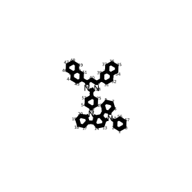 c1ccc(-n2c3ccccc3c3c2ccc2c4ccccc4n(-c4ccc(-c5nc(-c6ccc7ccccc7c6)cc(-c6ccc7ccccc7c6)n5)cc4)c23)cc1